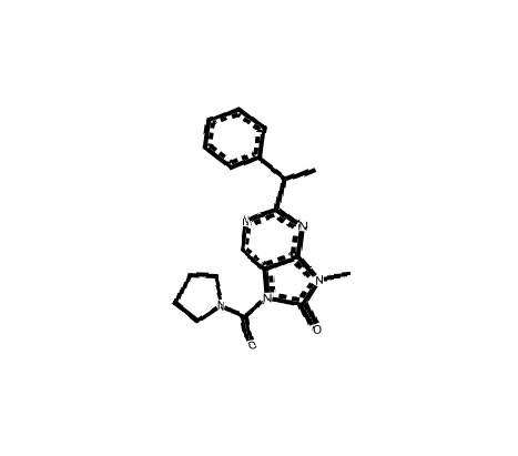 CC(c1ccccc1)c1ncc2c(n1)n(C)c(=O)n2C(=O)N1CCCC1